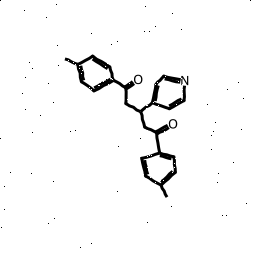 Cc1ccc(C(=O)CC(CC(=O)c2ccc(C)cc2)c2ccncc2)cc1